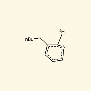 [2H]c1ncccc1CCCCC